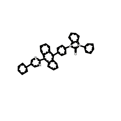 O=c1n(-c2ccccc2)c2ccccc2n1-c1ccc(-c2c3ccccc3c(-c3ncc(-c4ccccc4)cn3)c3ccccc23)cc1